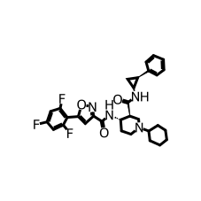 O=C(N[C@H]1CCN(C2CCCCC2)C[C@@H]1C(=O)N[C@@H]1C[C@H]1c1ccccc1)c1cc(-c2c(F)cc(F)cc2F)on1